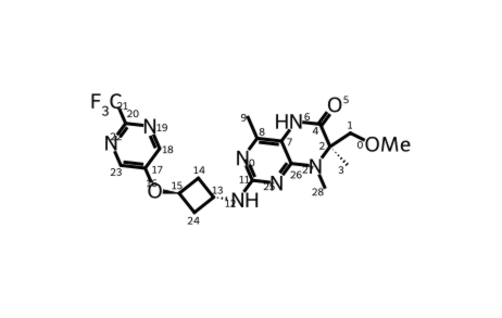 COC[C@]1(C)C(=O)Nc2c(C)nc(N[C@H]3C[C@H](Oc4cnc(C(F)(F)F)nc4)C3)nc2N1C